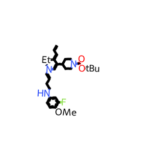 C=C/C=C(CC)/C(=C\N(C)/C=C/CCNc1ccc(OC)c(F)c1)C1CCN(C(=O)OC(C)(C)C)CC1